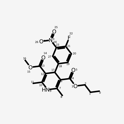 CCCOC(=O)C1=C(C)NC(C)=C(C(=O)OC)C1c1ccc(F)c([N+](=O)[O-])c1